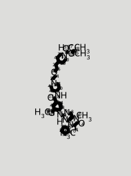 CC[C@@H]1C(=O)N(C)c2cnc(Nc3ccc(C(=O)NC4CCN(CCOCCC5CCN(C(=O)OC(C)(C)C)CC5)CC4)cc3OC)nc2N1C1CCCC1